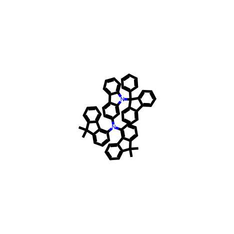 CC1(C)c2ccccc2-c2c(N(c3ccc4c5ccccc5n(C5(c6ccccc6)c6ccccc6-c6ccccc65)c4c3)c3cccc4c3-c3ccccc3C4(C)C)cccc21